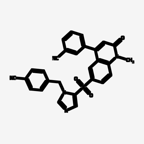 Cn1c(=O)cc(-c2cccc(C#N)c2)c2cc(S(=O)(=O)c3cncn3Cc3ccc(C#N)cc3)ccc21